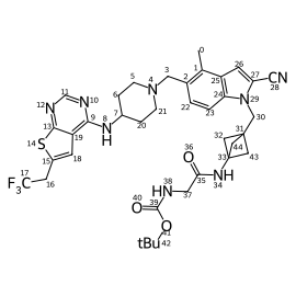 Cc1c(CN2CCC(Nc3ncnc4sc(CC(F)(F)F)cc34)CC2)ccc2c1cc(C#N)n2CC12CC(NC(=O)CNC(=O)OC(C)(C)C)(C1)C2